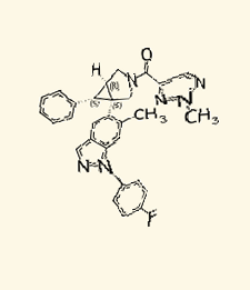 Cc1cc2c(cnn2-c2ccc(F)cc2)cc1[C@@]12CN(C(=O)c3cnn(C)n3)C[C@@H]1[C@H]2c1ccccc1